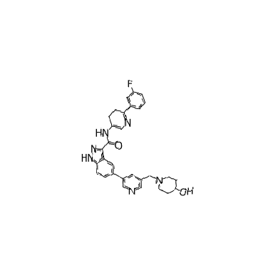 O=C(NC1=CN=C(c2cccc(F)c2)CC1)c1n[nH]c2ccc(-c3cncc(CN4CCC(O)CC4)c3)cc12